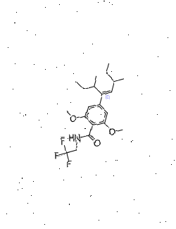 CCC(C)/C=C(/c1cc(OC)c(C(=O)NCC(F)(F)F)c(OC)c1)C(C)CC